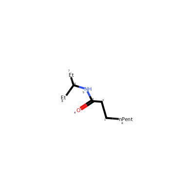 [CH2]CCCCCCC(=O)NC(CC)CC